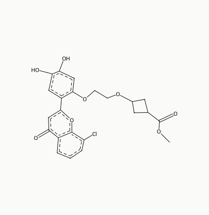 COC(=O)C1CC(OCCOc2cc(O)c(O)cc2-c2cc(=O)c3cccc(Cl)c3o2)C1